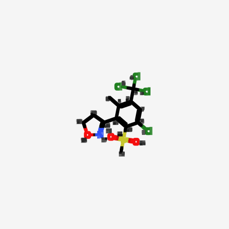 Cc1c(C(Cl)(Cl)Cl)cc(Cl)c(S(C)(=O)=O)c1C1=NOCC1